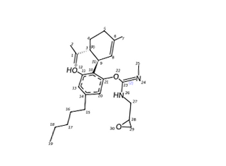 C=C(C)[C@@H]1CCC(C)=C[C@H]1c1c(O)cc(CCCCC)cc1O/C(=N\C)NCC1CO1